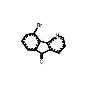 O=C1c2cccnc2-c2c(Br)cccc21